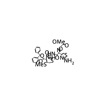 COC(=O)CON=C(C(=O)NC1C(=O)N2C(C(=O)OC(c3ccccc3)c3ccccc3)=C(SC)CS[C@@H]12)c1csc(N)n1